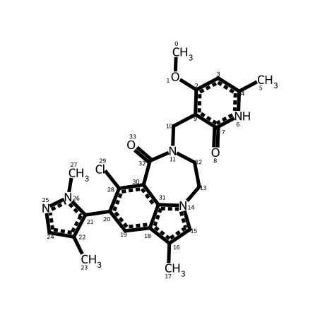 COc1cc(C)[nH]c(=O)c1CN1CCn2cc(C)c3cc(-c4c(C)cnn4C)c(Cl)c(c32)C1=O